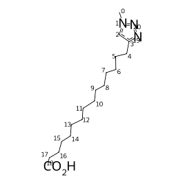 Cn1cc(CCCCCCCCCCCCCCC(=O)O)nn1